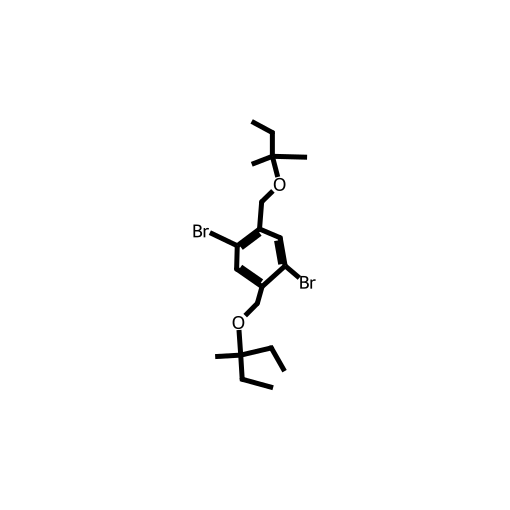 CCC(C)(C)OCc1cc(Br)c(COC(C)(CC)CC)cc1Br